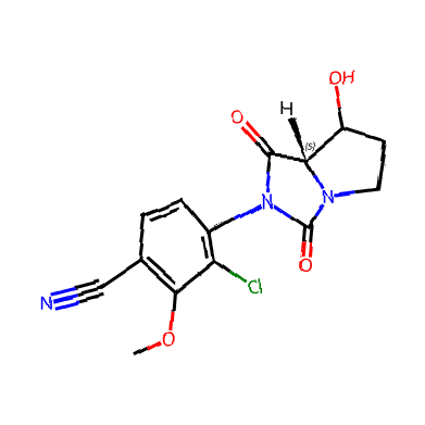 COc1c(C#N)ccc(N2C(=O)[C@@H]3C(O)CCN3C2=O)c1Cl